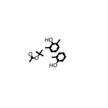 CC(=O)OC(C)(C)C.Cc1cccc(C)c1O.Cc1ccccc1O